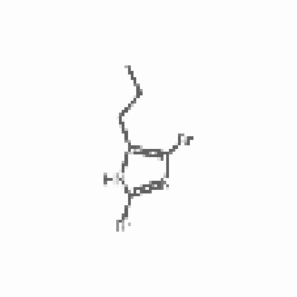 CCCc1[nH]c(Br)nc1Br